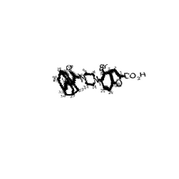 O=C(O)c1cc2c(Br)c(N3CCN(C(=O)C45CC6CC(CC(C6)C4)C5)CC3)ccc2o1